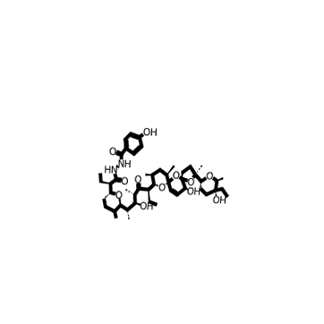 CC[C@@H](C(=O)[C@@H](C)[C@@H](O)[C@H](C)[C@@H]1O[C@@H]([C@@H](CC)C(=O)NNC(=O)c2ccc(O)cc2)CCC1C)[C@H]1O[C@]2(C=C[C@@H](O)[C@]3(CC[C@@](C)([C@H]4CC[C@](O)(CC)[C@H](C)O4)O3)O2)[C@H](C)C[C@@H]1C